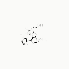 CN1C(=O)N(CCO)C2N=C3C(=C(c4cnccn4)N=CN3N)N21